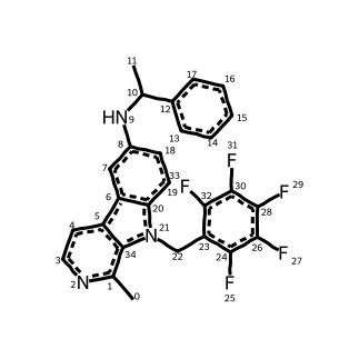 Cc1nccc2c3cc(NC(C)c4ccccc4)ccc3n(Cc3c(F)c(F)c(F)c(F)c3F)c12